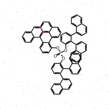 O=P(Oc1cccc(-c2cccc3ccccc23)c1-c1cccc2ccccc12)(Oc1cccc(-c2cccc3ccccc23)c1-c1cccc2ccccc12)Oc1cccc(-c2cccc3ccccc23)c1-c1cccc2ccccc12